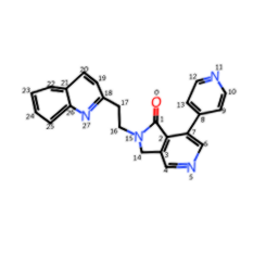 O=C1c2c(cncc2-c2ccncc2)CN1CCc1ccc2ccccc2n1